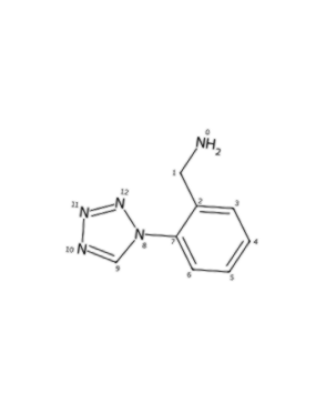 NCc1ccccc1-n1cnnn1